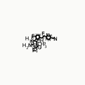 C[C@@H]1[C@@](C)(C(=O)N2CCC2)SC(N)=N[C@]1(C)c1cc(/C=C(\F)c2ccc(C#N)cn2)ccc1F